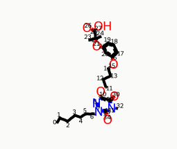 CCCCCCCn1nc(OCCCCOc2cccc(OC(C)(C)C(=O)O)c2)c(=O)n(C)c1=O